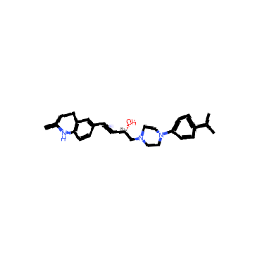 C=C1CCc2cc(/C=C/[C@H](O)CN3CCN(c4ccc(C(C)C)cc4)CC3)ccc2N1